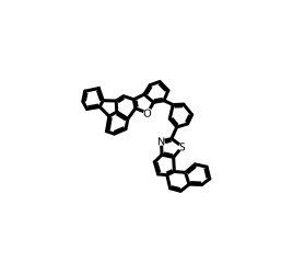 c1cc(-c2nc3ccc4ccc5ccccc5c4c3s2)cc(-c2cccc3c2oc2c4cccc5c4c(cc32)-c2ccccc2-5)c1